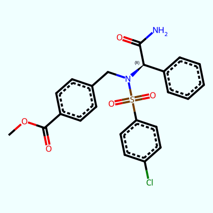 COC(=O)c1ccc(CN([C@@H](C(N)=O)c2ccccc2)S(=O)(=O)c2ccc(Cl)cc2)cc1